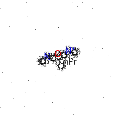 CCCc1ccccc1-c1c2cc/c(=[N+](/C)c3ccccc3)cc-2oc2cc(N(C)c3ccccc3)ccc12